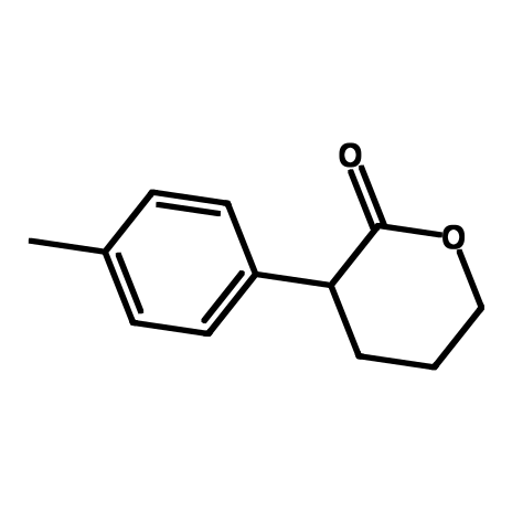 Cc1ccc(C2CCCOC2=O)cc1